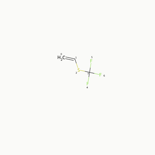 C=CSC(F)(F)F